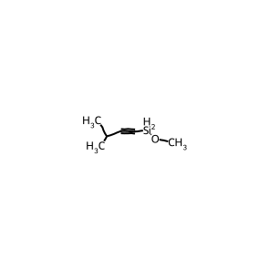 CO[SiH2]C#CC(C)C